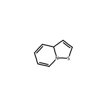 C1=CC2C=CSN2C=C1